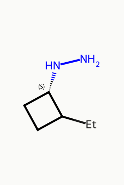 CCC1CC[C@@H]1NN